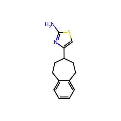 Nc1nc(C2CCc3ccccc3CC2)cs1